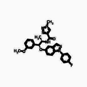 COc1cccc([C@@H](Oc2ccc3c(cnn3-c3ccc(F)cc3)c2)[C@H](C)NC(=O)c2cn(C)nn2)c1